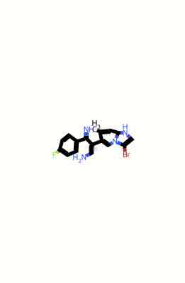 CC1=CC2NC=C(Br)N2C=C1/C(=C/N)C(=N)c1ccc(F)cc1